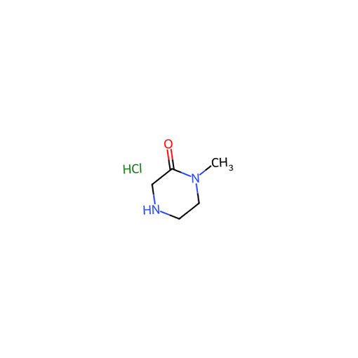 CN1CCNCC1=O.Cl